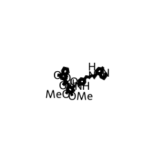 COc1cc(NC(=O)c2cc(=O)c3ccccc3o2)c(C(=O)Nc2ccc(CCNCc3ccc(C)c4ncccc34)cc2)cc1OC